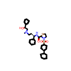 CN(CC[C@@H](NC(=O)C1SCCN1S(=O)(=O)c1ccc(-c2ccccc2)cc1)c1ccccc1)CC(O)c1ccccc1